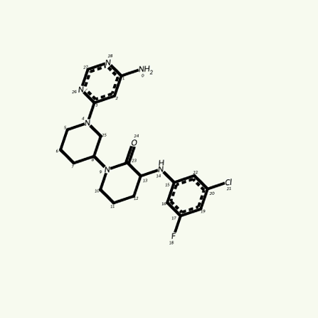 Nc1cc(N2CCCC(N3CCCC(Nc4cc(F)cc(Cl)c4)C3=O)C2)ncn1